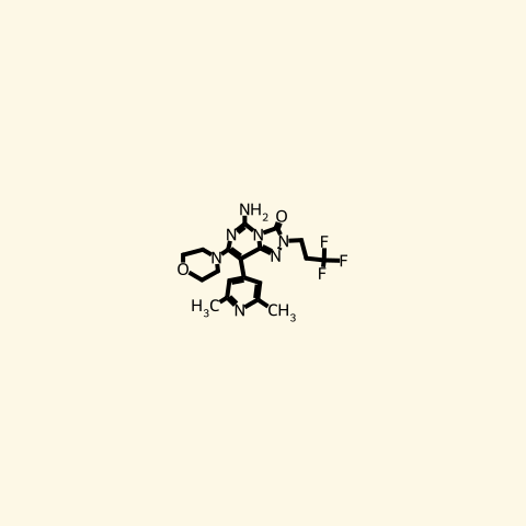 Cc1cc(-c2c(N3CCOCC3)nc(N)n3c(=O)n(CCC(F)(F)F)nc23)cc(C)n1